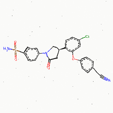 N#Cc1ccc(Oc2cc(Cl)ccc2[C@H]2CC(=O)N(c3ccc(S(N)(=O)=O)cc3)C2)cc1